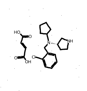 Clc1ccccc1CN(C1CCCC1)[C@H]1CCNC1.O=C(O)C=CC(=O)O